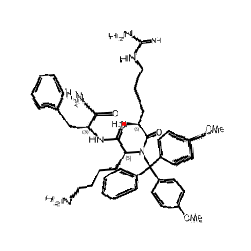 COc1ccc(C(c2ccccc2)(c2ccc(OC)cc2)N(C(=O)[C@@H](N)CCCNC(=N)N)[C@@H](CCCCN)C(=O)N[C@@H](Cc2ccccc2)C(N)=O)cc1